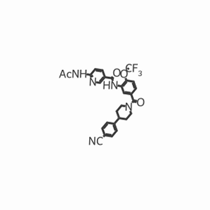 CC(=O)Nc1ccc(C(=O)Nc2cc(C(=O)N3CCC(c4ccc(C#N)cc4)CC3)ccc2OC(F)(F)F)cn1